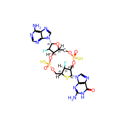 Nc1nc2c(ncn2[C@@H]2S[C@@H]3COP(=O)(S)O[C@H]4C(F)[C@H](n5cnc6c(N)ncnc65)O[C@@H]4COP(=O)(S)O[C@@H]2[C@@H]3F)c(=O)[nH]1